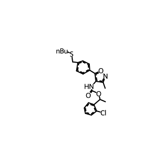 CCCCSCc1ccc(-c2onc(C)c2NC(=O)OC(C)c2ccccc2Cl)cc1